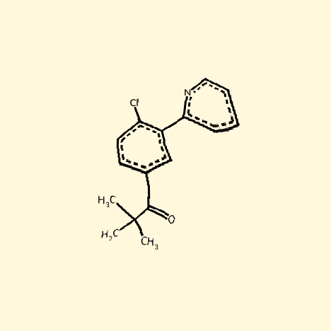 CC(C)(C)C(=O)c1ccc(Cl)c(-c2ccccn2)c1